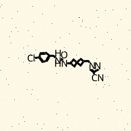 N#Cc1cnn(CC2CC3(C2)CC(NC(=O)NCc2ccc(Cl)cc2)C3)c1